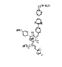 CCCCCCCOc1ccc(-c2cnc(-c3ccc(C[C@H](NC(=O)c4ccc(C(C)(C)C)cc4)C(=O)N[C@@H](CCC(N)=O)C(=O)O)cc3)nc2)cc1